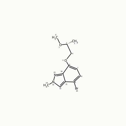 CO[C@H](C)COc1ccc(Br)c2cn(C)nc12